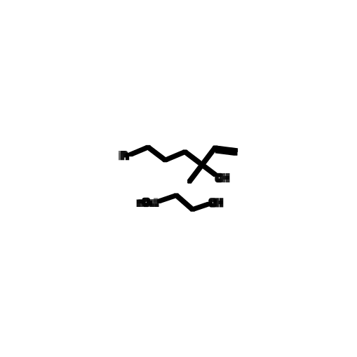 C=CC(C)(O)CCCC(C)C.CCCCCCCCCCO